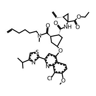 C=CCCCCN(C)C(=O)[C@@H]1C[C@H](Oc2cc(-c3nc(C(C)C)cs3)nc3c(Cl)c(OC)ccc23)C[C@H]1C(=O)N[C@]1(C(=O)OCC)C[C@H]1C=C